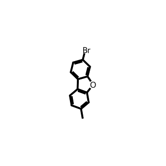 Cc1ccc2c(c1)oc1cc(Br)ccc12